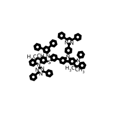 CC1(C)c2ccccc2N(c2ccccc2)c2cc3c(cc21)c1ccc(-c2ccc4c(c2)Sc2cc5c(cc2N4c2cc(-c4ccccc4)cc(-c4ccccc4)c2)C(C)(C)c2ccccc2N5c2nc(-c4ccccc4)nc(-c4ccccc4)n2)cc1n3-c1ccc(-c2nc(-c3ccccc3)cc(-c3ccccc3)n2)cc1